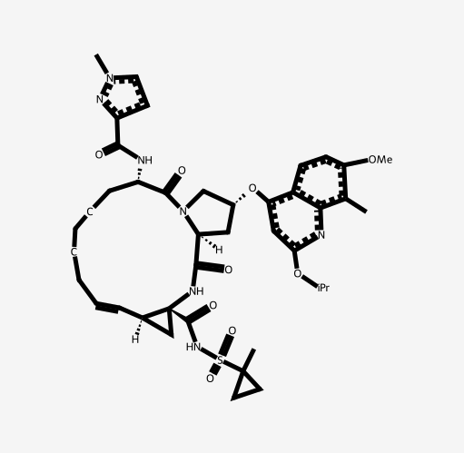 COc1ccc2c(O[C@@H]3C[C@H]4C(=O)N[C@]5(C(=O)NS(=O)(=O)C6(C)CC6)C[C@H]5/C=C\CCCCC[C@H](NC(=O)c5ccn(C)n5)C(=O)N4C3)cc(OC(C)C)nc2c1C